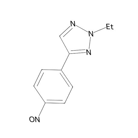 CCn1ncc(-c2ccc(N=O)cc2)n1